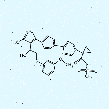 COc1cccc(SCC(O)c2c(C)noc2-c2ccc(-c3ccc(C4(C(=O)NS(C)(=O)=O)CC4)cc3)cc2)c1